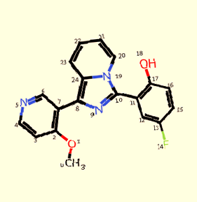 COc1ccncc1-c1nc(-c2cc(F)ccc2O)n2ccccc12